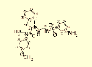 COc1ccc(N(C)C(=O)C(Cc2ccccc2)NC(=O)CNS(=O)(=O)c2cccc(N)c2)cc1